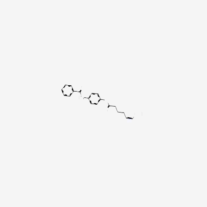 C/C=C\CCCC(=O)Oc1ccc(NC(=O)c2ccccc2)cc1